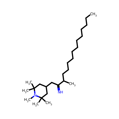 CCCCCCCCCCCCC(C)C(=N)CC1CC(C)(C)N(C)C(C)(C)C1